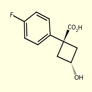 O=C(O)[C@]1(c2ccc(F)cc2)C[C@@H](O)C1